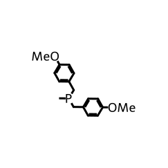 COc1ccc(CP(C)Cc2ccc(OC)cc2)cc1